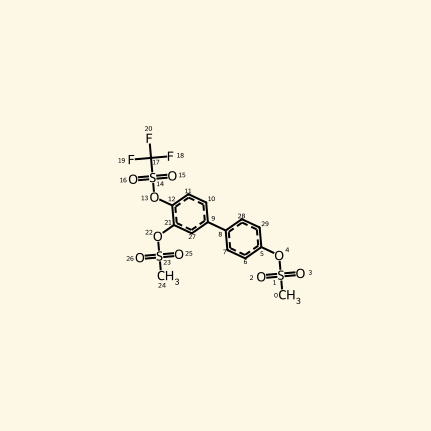 CS(=O)(=O)Oc1ccc(-c2ccc(OS(=O)(=O)C(F)(F)F)c(OS(C)(=O)=O)c2)cc1